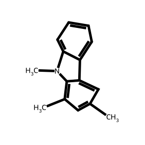 Cc1cc(C)c2c(c1)c1ccccc1n2C